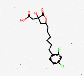 O=C(O)CC1(O)CC(CCCCCCc2ccc(Cl)cc2Cl)OC1=O